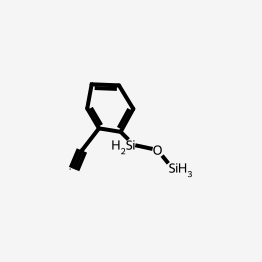 [C]#Cc1ccccc1[SiH2]O[SiH3]